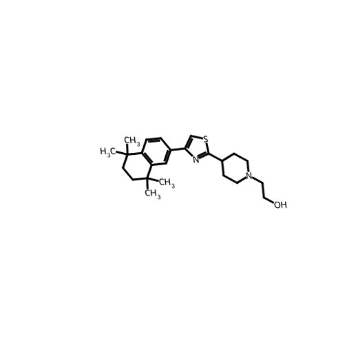 CC1(C)CCC(C)(C)c2cc(-c3csc(C4CCN(CCO)CC4)n3)ccc21